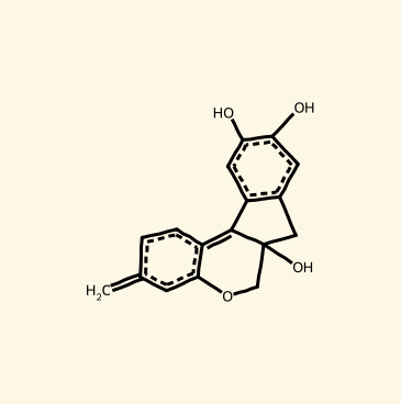 C=c1ccc2c(c1)OCC1(O)Cc3cc(O)c(O)cc3C=21